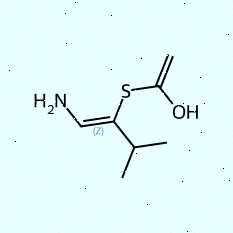 C=C(O)S/C(=C\N)C(C)C